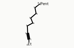 [CH2]CC#CCCCCCC(C)CC[CH2]